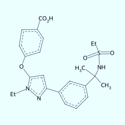 CCn1nc(-c2cccc(C(C)(C)NS(=O)(=O)CC)c2)cc1Oc1ccc(C(=O)O)cc1